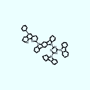 c1ccc(-c2cc3ccc(-n4c5ccccc5c5cc6c(cc54)c4ccccc4n6-c4nc(-n5c6ccccc6c6ccccc65)nc(-n5c6ccccc6c6ccccc65)n4)nc3c3ncccc23)cc1